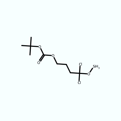 CC(C)(C)OC(=O)OCCCC(Cl)(Cl)O[SiH3]